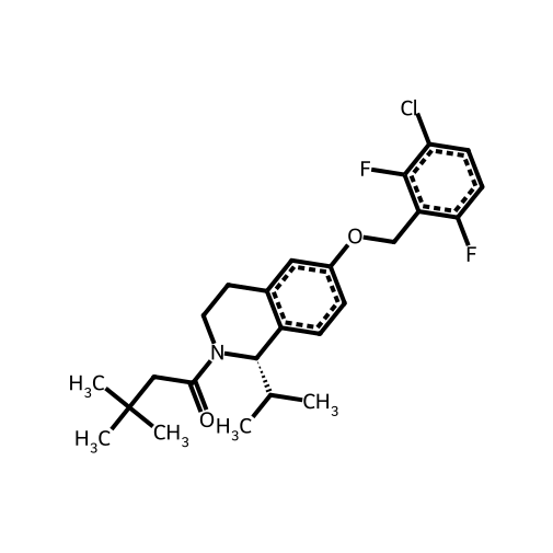 CC(C)[C@H]1c2ccc(OCc3c(F)ccc(Cl)c3F)cc2CCN1C(=O)CC(C)(C)C